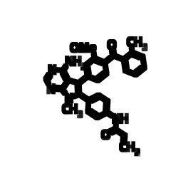 C=CC(=O)Nc1ccc(-c2c(-c3ccc(C(=O)c4ccccc4C)c(OC)c3)c3c(N)ncnc3n2C)cc1